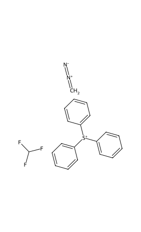 C=[N+]=[N-].FC(F)F.c1ccc([S+](c2ccccc2)c2ccccc2)cc1